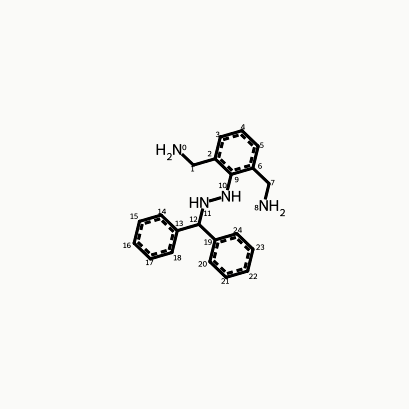 NCc1cccc(CN)c1NNC(c1ccccc1)c1ccccc1